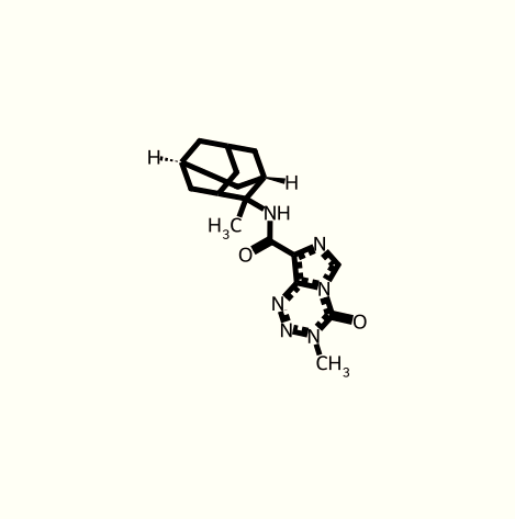 Cn1nnc2c(C(=O)NC3(C)C4CC5C[C@H](C4)C[C@@H]3C5)ncn2c1=O